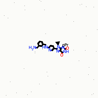 CCCn1c(=O)[nH]c(=O)c2nc(-c3ccc(NCc4cccc(CN)c4)nc3)n(C3CC3)c21